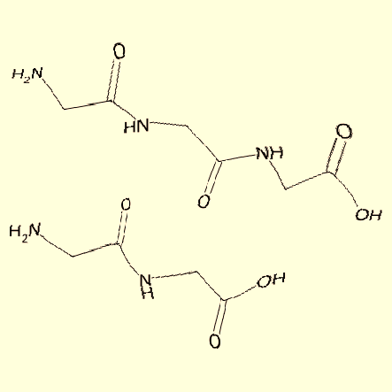 NCC(=O)NCC(=O)NCC(=O)O.NCC(=O)NCC(=O)O